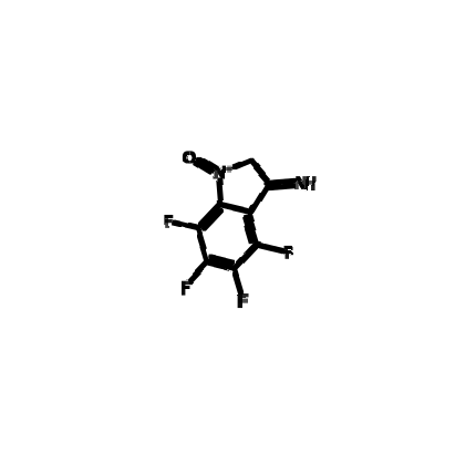 N=C1C[N+](=O)c2c(F)c(F)c(F)c(F)c21